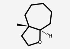 C[C@@]12CCCCC[C@H]1OCC2